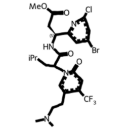 COC(=O)C[C@H](NC(=O)C(CC(C)C)n1cc(CCN(C)C)c(C(F)(F)F)cc1=O)c1cc(Br)cc(Cl)n1